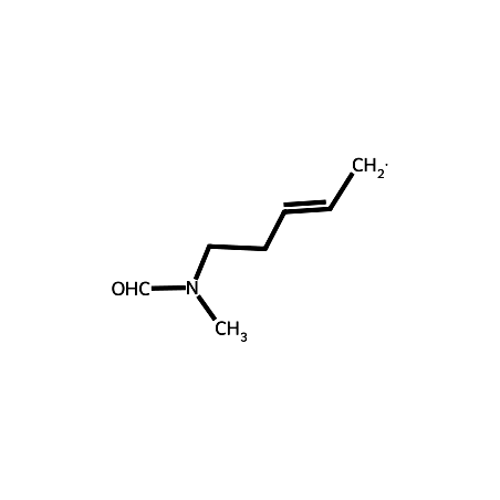 [CH2]C=CCCN(C)C=O